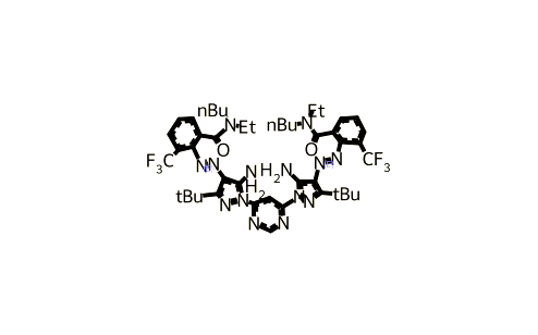 CCCCN(CC)C(=O)c1cccc(C(F)(F)F)c1/N=N/c1c(C(C)(C)C)nn(-c2cc(-n3nc(C(C)(C)C)c(/N=N/c4c(C(=O)N(CC)CCCC)cccc4C(F)(F)F)c3N)ncn2)c1N